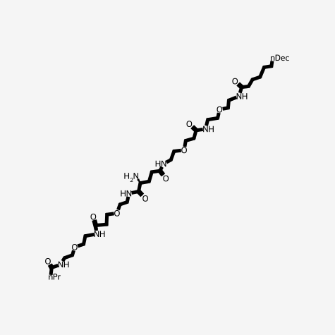 CCCCCCCCCCCCCCCC(=O)NCCOCCNC(=O)CCOCCNC(=O)CC[C@H](N)C(=O)NCCOCCC(=O)NCCOCCNC(=O)CCC